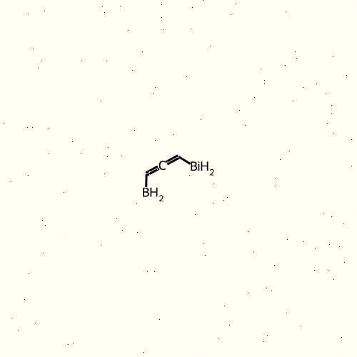 BC=C=[CH][BiH2]